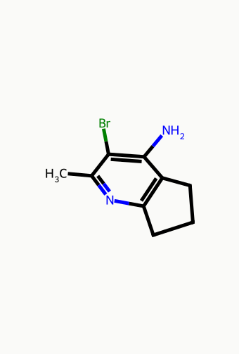 Cc1nc2c(c(N)c1Br)CCC2